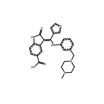 CN1CCN(Cc2cccc(NC(=C3C(=O)Nc4ccc(C(=O)O)cc43)c3ccsc3)c2)CC1